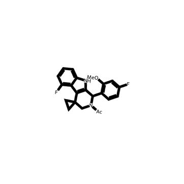 COc1cc(F)ccc1C1c2[nH]c3cccc(F)c3c2C2(CC2)CN1C(C)=O